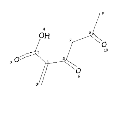 C=C(C(=O)O)C(=O)CC(C)=O